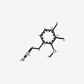 COc1c(CC=[N+]=[N-])ccc(C)c1C